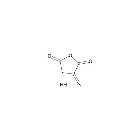 O=C1CC(=S)C(=O)O1.[HH]